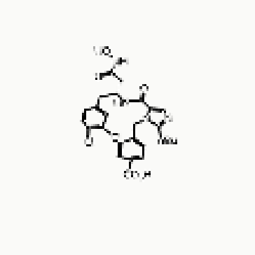 CCCCc1ncc(C(=O)N[C@@H](CC(=O)NO)Cc2ccc(Cl)c(Cl)c2)n1Cc1ccc(C(=O)O)cc1